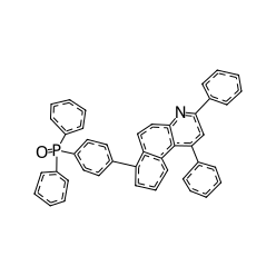 O=P(c1ccccc1)(c1ccccc1)c1ccc(-c2cccc3c2ccc2nc(-c4ccccc4)cc(-c4ccccc4)c23)cc1